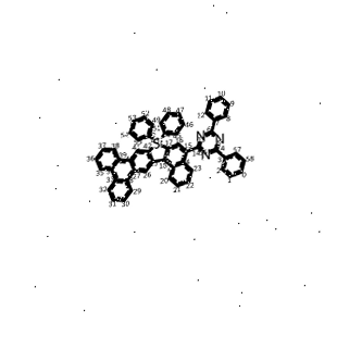 c1ccc(-c2nc(-c3ccccc3)nc(-c3cc4c(c5ccccc35)-c3cc5c6ccccc6c6ccccc6c5cc3[Si]4(c3ccccc3)c3ccccc3)n2)cc1